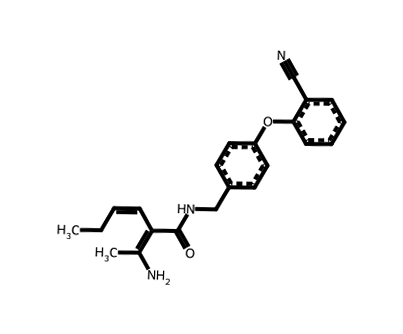 CC/C=C\C(C(=O)NCc1ccc(Oc2ccccc2C#N)cc1)=C(/C)N